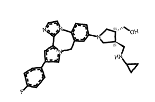 OC[C@H]1CN(c2ccc3c(c2)Cn2cc(-c4ccc(F)cc4)cc2-c2nccn2-3)C[C@@H]1CNC1CC1